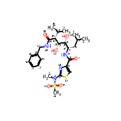 CC(C)C[C@H](NC(=O)c1csc(N(C)S(C)(=O)=O)n1)[C@@H](O)[C@H](O)[C@H](C(=O)NCc1ccccc1)C(C)C